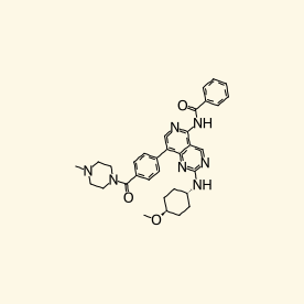 CO[C@H]1CC[C@H](Nc2ncc3c(NC(=O)c4ccccc4)ncc(-c4ccc(C(=O)N5CCN(C)CC5)cc4)c3n2)CC1